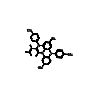 CC(C)=C(C)C1=C(C)B2c3cc(C(C)(C)C)ccc3N(c3ccc(C(C)(C)C)cc3)c3cc(C(C)(C)C)cc(c32)N1c1ccc(C(C)(C)C)cc1